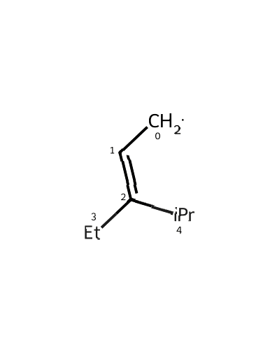 [CH2]C=C(CC)C(C)C